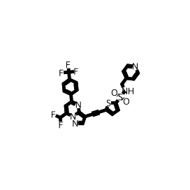 O=S(=O)(NCc1ccncc1)c1ccc(C#Cc2cnn3c(C(F)F)cc(-c4ccc(C(F)(F)F)cc4)nc23)s1